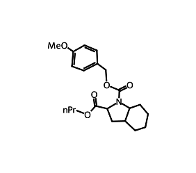 CCCOC(=O)C1CC2CCCCC2N1C(=O)OCc1ccc(OC)cc1